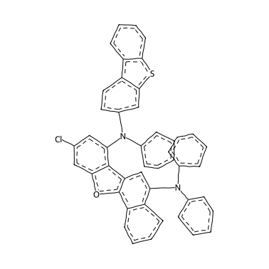 Clc1cc(N(c2ccccc2)c2ccc3c(c2)sc2ccccc23)c2c(c1)oc1c3ccccc3c(N(c3ccccc3)c3ccccc3)cc12